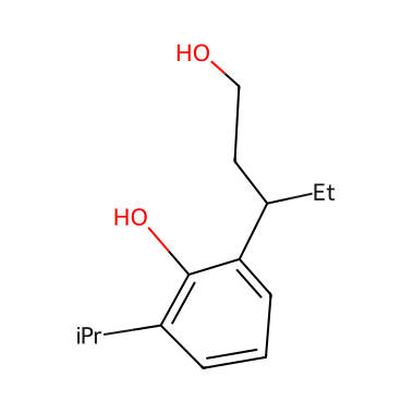 CCC(CCO)c1cccc(C(C)C)c1O